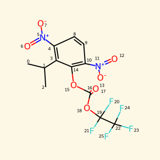 CC(C)c1c([N+](=O)[O-])ccc([N+](=O)[O-])c1OC(=O)OC(F)(F)C(F)(F)F